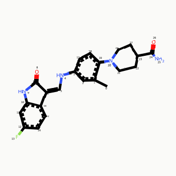 Cc1cc(N/C=C2\C(=O)Nc3cc(F)ccc32)ccc1N1CCC(C(N)=O)CC1